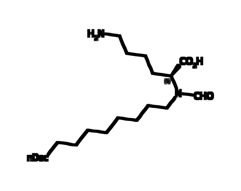 CCCCCCCCCCCCCCCCCCN(C=O)[C@@H](CCCCN)C(=O)O